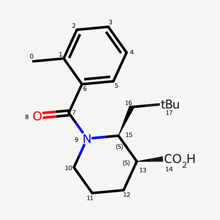 Cc1ccccc1C(=O)N1CCC[C@H](C(=O)O)[C@@H]1CC(C)(C)C